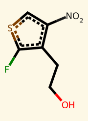 O=[N+]([O-])c1csc(F)c1CCO